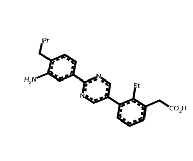 CCc1c(CC(=O)O)cccc1-c1cnc(-c2ccc(CC(C)C)c(N)c2)nc1